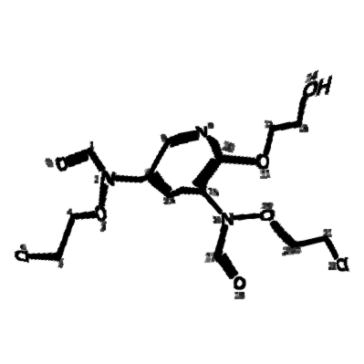 O=CN(OCCCl)c1cnc(OCCO)c(N(C=O)OCCCl)c1